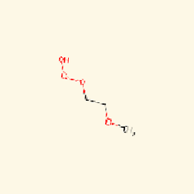 COCCOOO